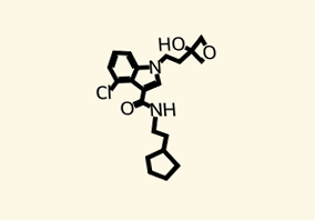 O=C(NCCC1CCCC1)c1cn(CCC2(O)COC2)c2cccc(Cl)c12